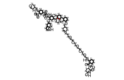 O=C1CCC(N2C(=O)c3cccc(NCCOCCOCCOCCOCCOCCCN4CCC(COc5cccc(-c6ccc(Cl)cc6)c5CN5CCN(c6ccc(C(=O)NS(=O)(=O)c7ccc(NCC8CCOCC8)c([N+](=O)[O-])c7)c(Oc7cnc8[nH]ccc8c7)c6)CC5)CC4)c3C2=O)C(=O)N1